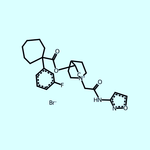 O=C(C[N+]12CCC(CC1)C(OC(=O)C1(c3cccc(F)c3)CCCCCC1)C2)Nc1ccon1.[Br-]